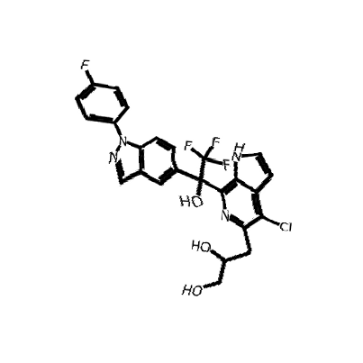 OCC(O)Cc1nc(C(O)(c2ccc3c(cnn3-c3ccc(F)cc3)c2)C(F)(F)F)c2[nH]ccc2c1Cl